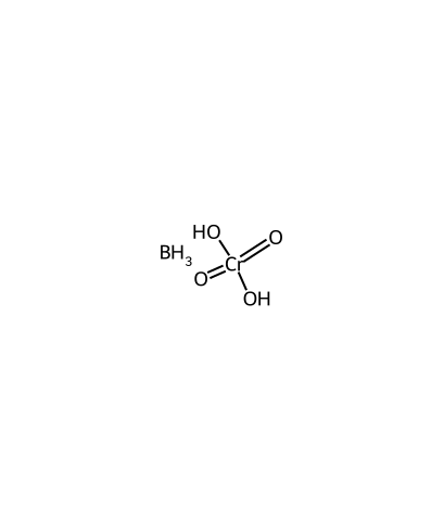 B.[O]=[Cr](=[O])([OH])[OH]